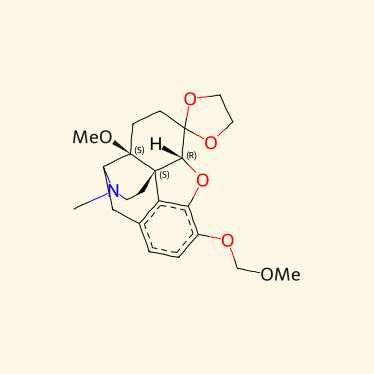 COCOc1ccc2c3c1O[C@H]1C4(CC[C@@]5(OC)C(C2)N(C)CC[C@]315)OCCO4